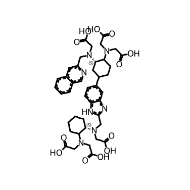 O=C(O)CN(CC(=O)O)C1CCC(c2ccc3[nH]c(CN(CC(=O)O)[C@H]4CCCCC4N(CC(=O)O)CC(=O)O)nc3c2)C[C@@H]1N(CC(=O)O)Cc1cc2ccccc2cn1